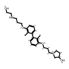 Cc1c(OCCCNCCO)cccc1-c1cccc(OCCCN2CCC(O)C2)c1C